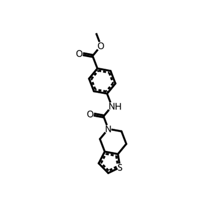 COC(=O)c1ccc(NC(=O)N2CCc3sccc3C2)cc1